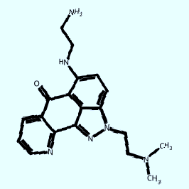 CN(C)CCn1nc2c3c(c(NCCN)ccc31)C(=O)c1cccnc1-2